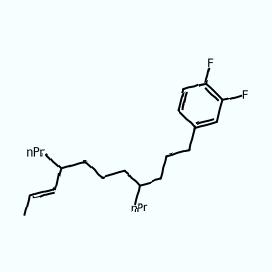 CC=CC(CCC)CCCC(CCC)CCCc1ccc(F)c(F)c1